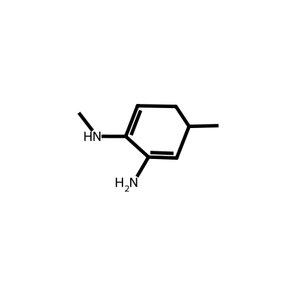 CNC1=CCC(C)C=C1N